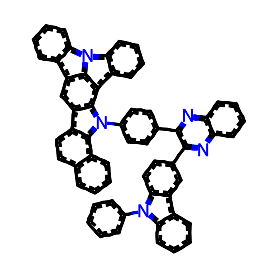 c1ccc(-n2c3ccccc3c3cc(-c4nc5ccccc5nc4-c4ccc(-n5c6c7ccccc7ccc6c6cc7c8ccccc8n8c9ccccc9c(c65)c78)cc4)ccc32)cc1